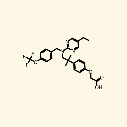 CCc1cnc(N(Cc2ccc(OC(F)(F)F)cc2)CC(C)(C)c2ccc(OCC(=O)O)cc2)nc1